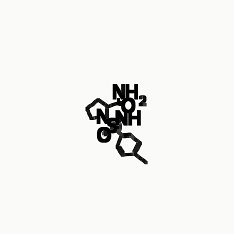 Cc1ccc([S@](=N)(=O)N2CCCC2C(N)=O)cc1